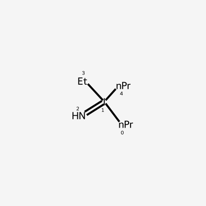 CCCI(=N)(CC)CCC